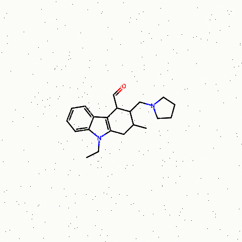 CCn1c2c(c3ccccc31)C(C=O)C(CN1CCCC1)C(C)C2